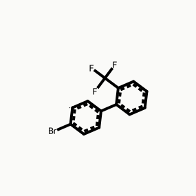 FC(F)(F)c1ccccc1-c1c[c]c(Br)cc1